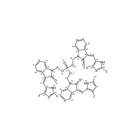 Cc1cc(C)c(/C=C2\C(=O)N(COP(=O)(OCN3C(=O)/C(=C\c4[nH]c(C)cc4C)c4ccccc43)OCN3C(=O)/C(=C\c4[nH]c(C)cc4C)c4ccccc43)c3ccccc32)[nH]1